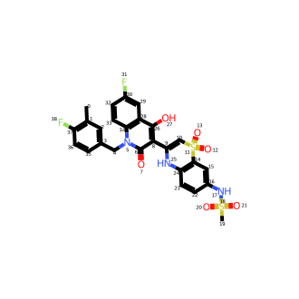 Cc1cc(Cn2c(=O)c(C3=CS(=O)(=O)c4cc(NS(C)(=O)=O)ccc4N3)c(O)c3cc(F)ccc32)ccc1F